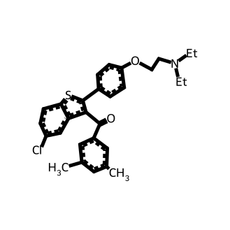 CCN(CC)CCOc1ccc(-c2sc3ccc(Cl)cc3c2C(=O)c2cc(C)cc(C)c2)cc1